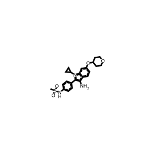 CS(=O)(=O)Nc1ccc(-c2c(N)c3ccc(OC4CCOCC4)cc3n2C2CC2)cc1